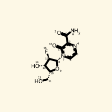 NC(=O)c1nccn([C@@H]2O[C@H](CO)[C@H](O)[C@H]2F)c1=O